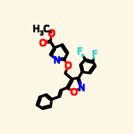 COC(=O)c1ccc(OCc2c(-c3ccc(F)c(F)c3)noc2/C=C/c2ccccc2)nc1